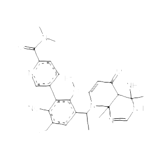 CCOc1c(C(C)N2C=CC(=O)C3C(C)(N)NC=NC32C)cc(Cl)c(C#N)c1-c1ccc(C(=O)N(C)C)nc1